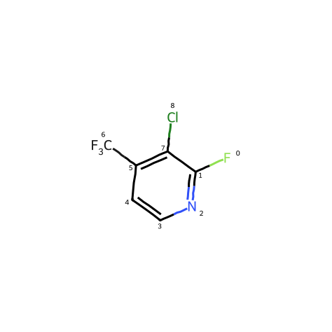 Fc1nccc(C(F)(F)F)c1Cl